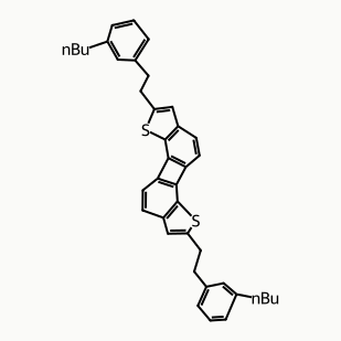 CCCCc1cccc(CCc2cc3ccc4c(c3s2)-c2ccc3cc(CCc5cccc(CCCC)c5)sc3c2-4)c1